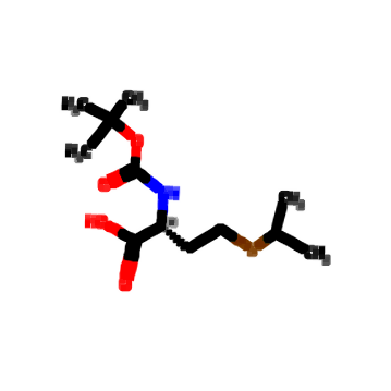 CC(C)SCC[C@@H](NC(=O)OC(C)(C)C)C(=O)O